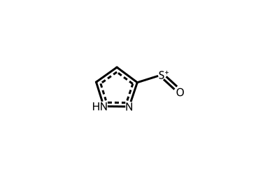 O=[S+]c1cc[nH]n1